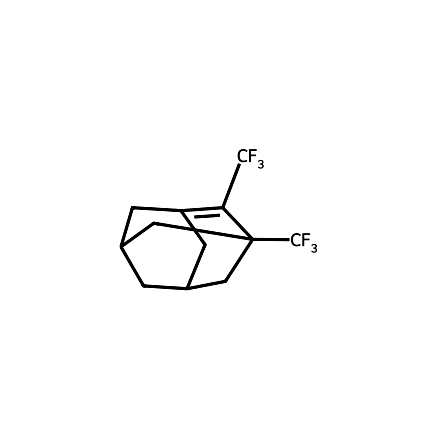 FC(F)(F)C1=C2CC3CC(C2)CC1(C(F)(F)F)C3